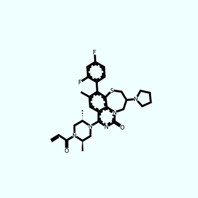 C=CC(=O)N1C[C@H](C)N(c2nc(=O)n3c4c(c(-c5ccc(F)cc5F)c(C)cc24)SCC(N2CCCC2)C3)C[C@H]1C